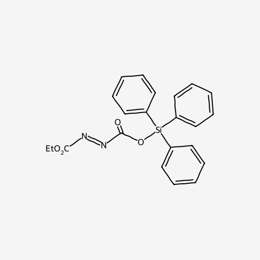 CCOC(=O)N=NC(=O)O[Si](c1ccccc1)(c1ccccc1)c1ccccc1